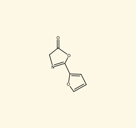 O=C1CN=C(c2ccco2)O1